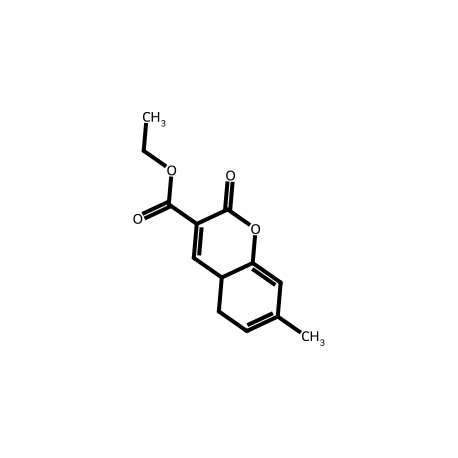 CCOC(=O)C1=CC2CC=C(C)C=C2OC1=O